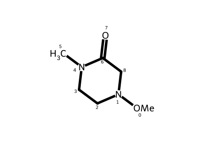 CON1CCN(C)C(=O)C1